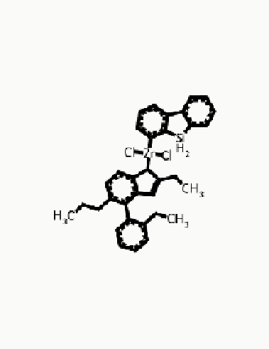 CCCc1ccc2c(c1-c1ccccc1CC)C=C(CC)[CH]2[Zr]([Cl])([Cl])[c]1cccc2c1[SiH2]c1ccccc1-2